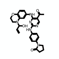 C=CC(O)N1CCOc2ccc(Nc3nc(Nc4ccc(N5CCCC5=O)cc4)ncc3C(C)=O)cc21